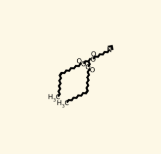 CCCCCCCC/C=C\CCCCCCCC(=O)OCC(COC(=O)CCCCCCC/C=C\CCCCCCCC)COC(=O)CCCCCN1CCC1